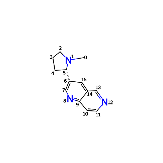 CN1CCC[C@H]1c1cnc2ccncc2c1